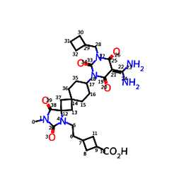 CN1C(=O)N(CCC2CC(C(=O)O)C2)C2(CC3(CCC(N4C(=O)C(=C(N)N)C(=O)N(CC5CCC5)C4=O)CC3)C2)C1=O